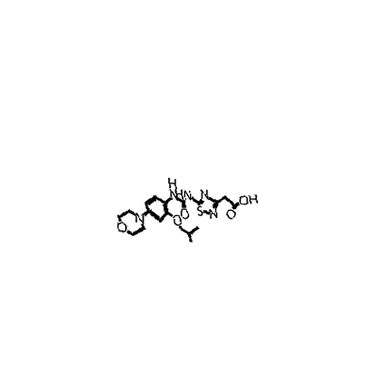 CC(C)COc1cc(N2CCOCC2)ccc1NC(=O)Nc1nc(CC(=O)O)ns1